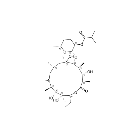 CC[C@H]1OC(=O)[C@H](C)[C@@H](O)[C@H](C)[C@@H](O[C@@H]2O[C@H](C)CC[C@H]2OC(=O)C(C)C)[C@](C)(O)C[C@@H](C)CN(C)[C@H](C)[C@@H](O)[C@]1(C)O